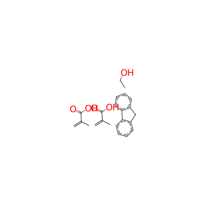 C=C(C)C(=O)O.C=C(C)C(=O)O.CCO.c1ccc2c(c1)Cc1ccccc1-2